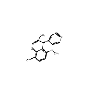 COc1ccc(Cl)c(Cl)c1C(C(N)=O)c1ccncc1